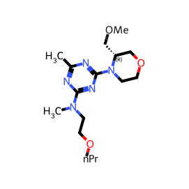 CCCOCCN(C)c1nc(C)nc(N2CCOC[C@H]2COC)n1